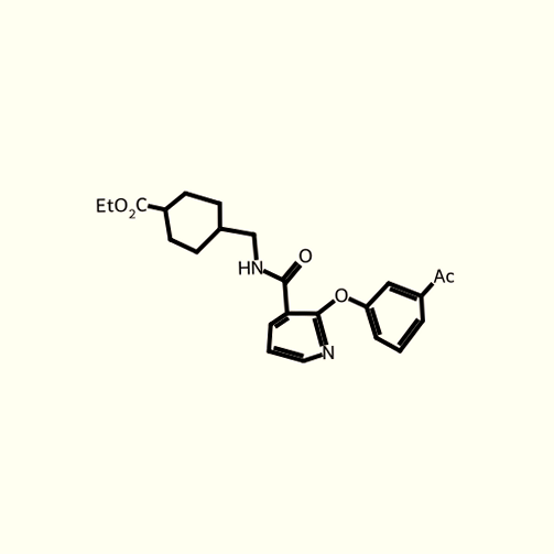 CCOC(=O)C1CCC(CNC(=O)c2cccnc2Oc2cccc(C(C)=O)c2)CC1